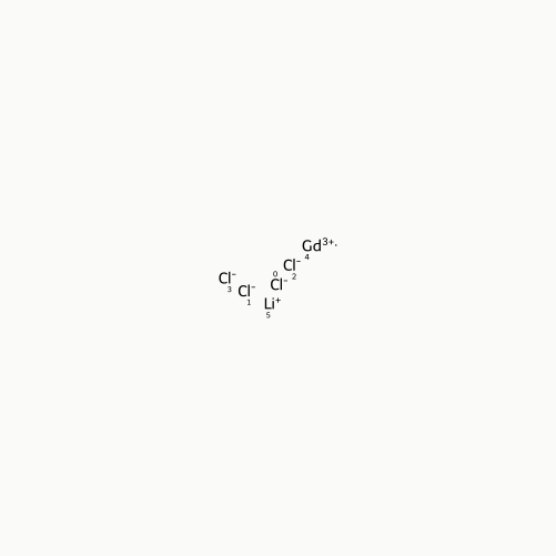 [Cl-].[Cl-].[Cl-].[Cl-].[Gd+3].[Li+]